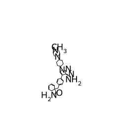 CN1CCN(C2CCC(n3cc(-c4ccc(CC5(C(N)=O)C=CC=CC5)cc4)c4c(N)ncnc43)CC2)CC1